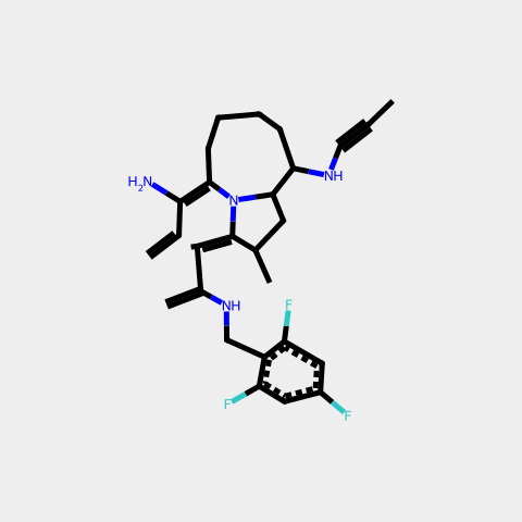 C=C/C(N)=C1/CCCCC(NC#CC)C2CC(C)/C(=C(/C)C(=C)NCc3c(F)cc(F)cc3F)N12